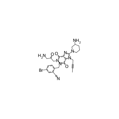 CC#CCn1c(N2CCCC(N)C2)nc2c(=O)n(CC(=O)CN)n(Cc3ccc(Br)cc3C#N)c(=O)c21